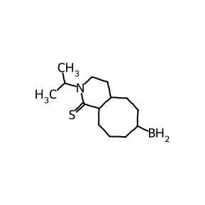 BC1CCCC2C(=S)N(C(C)C)CCC2CC1